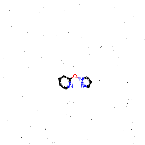 c1ccc(On2cccn2)nc1